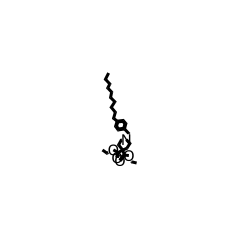 CCCCCCCCCCc1ccc(CN2CCC(C(=O)OCC)(C(=O)OCC)CC2)cc1